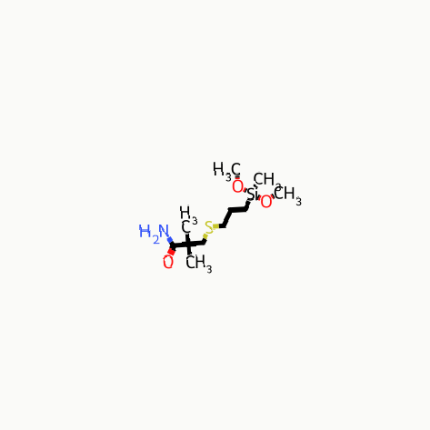 CO[Si](C)(CCCSCC(C)(C)C(N)=O)OC